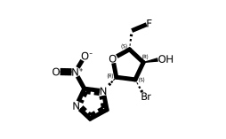 O=[N+]([O-])c1nccn1[C@@H]1O[C@H](CF)[C@@H](O)[C@@H]1Br